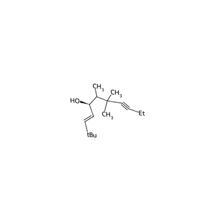 CCC#CC(C)(C)C(C)[C@H](O)/C=C/C(C)(C)C